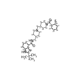 CC(C)(C)c1nc2c(C(=O)NCC3CCN(CC4CCN(C(=O)c5ccccc5F)CC4)CC3)cccc2[nH]1